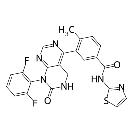 Cc1ccc(C(=O)Nc2nccs2)cc1-c1ncnc2c1CNC(=O)N2c1c(F)cccc1F